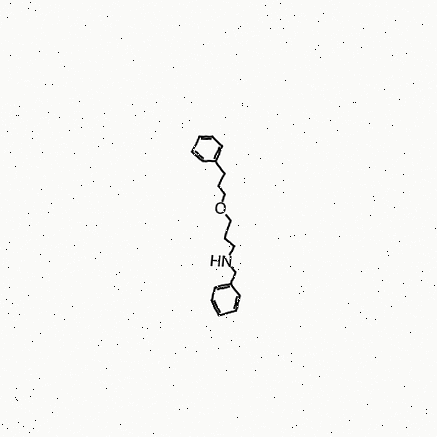 c1ccc(CCCOCCCNCc2ccccc2)cc1